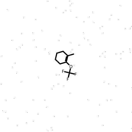 CC1=C(OC(F)(F)F)CCCC1